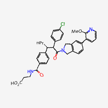 CCCC(c1ccc(C(=O)NCCC(=O)O)cc1)C(C(=O)N1Cc2ccc(-c3cccnc3OC)cc2C1)c1ccc(Cl)cc1